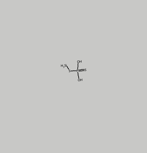 OP(O)(=S)S[SiH3]